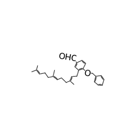 CC(C)=CCC/C(C)=C/CC/C(C)=C/Cc1cc(C=O)ccc1OCc1ccccc1